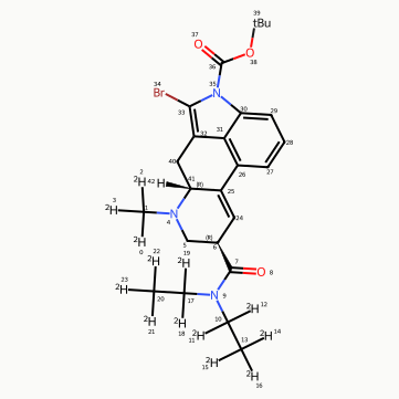 [2H]C([2H])([2H])N1C[C@H](C(=O)N(C([2H])([2H])C([2H])([2H])[2H])C([2H])([2H])C([2H])([2H])[2H])C=C2c3cccc4c3c(c(Br)n4C(=O)OC(C)(C)C)C[C@H]21